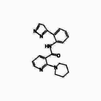 O=C(Nc1ccccc1C1=NN=CC1)c1cccnc1N1CCCCC1